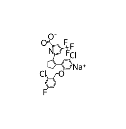 O=C([O-])c1cc(C(F)(F)F)cc(C2=C(c3cc(Cl)ccc3OCc3ccc(F)cc3Cl)CCC2)n1.[Na+]